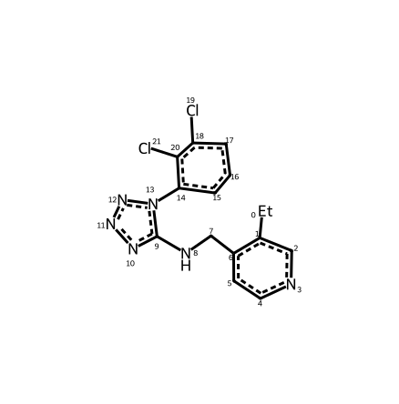 CCc1cnccc1CNc1nnnn1-c1cccc(Cl)c1Cl